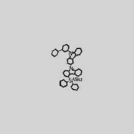 CC(C)(C)[Si](c1ccccc1)(c1ccccc1)c1cccc2c1c1ccccc1n2-c1ccc2c(c1)c1ccccc1n2-c1cccc(-c2ccccc2)c1